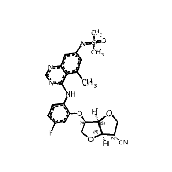 Cc1cc(N=S(C)(C)=O)cc2ncnc(Nc3ccc(F)cc3O[C@@H]3CO[C@H]4[C@@H]3OC[C@@H]4C#N)c12